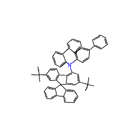 CC(C)(C)c1ccc2c(c1)C1(c3ccccc3-c3ccccc31)c1cc(C(C)(C)C)cc(N(c3ccc(-c4ccccc4)cc3)c3ccccc3-c3ccccc3)c1-2